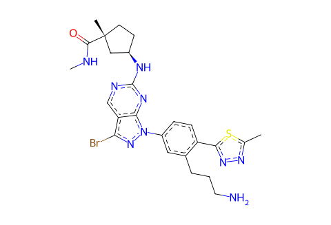 CNC(=O)[C@]1(C)CC[C@@H](Nc2ncc3c(Br)nn(-c4ccc(-c5nnc(C)s5)c(CCCN)c4)c3n2)C1